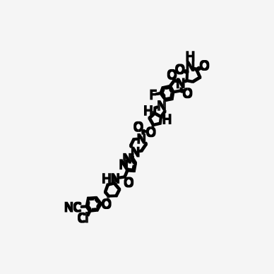 N#Cc1ccc(O[C@H]2CC[C@H](NC(=O)c3ccc(N4CCN(C(=O)O[C@H]5C[C@@H]6CN(c7cc8c(cc7F)C(=O)N(C7CCC(=O)NC7=O)C8=O)C[C@@H]6C5)CC4)nn3)CC2)cc1Cl